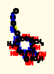 C[C@@H](O)[C@@H]1NC(=O)[C@@H](NC[C@H]2CC[C@H](c3nnc(-c4ccc(N5CCN(CC6CCCCC6)CC5)cc4)s3)CC2)C[C@@H](O)CNC(=O)[C@@H]2[C@@H](O)[C@@H](C)CN2C(=O)[C@H]([C@H](O)CCNC(CO)CO)NC(=O)[C@H]([C@H](O)Cc2ccc(O)c(OS(=O)(=O)O)c2)NC(=O)[C@@H]2C[C@@H](O)CN2C1=O